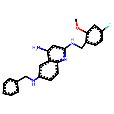 COc1cc(F)ccc1CNc1cc(N)c2cc(NCc3ccccc3)ccc2n1